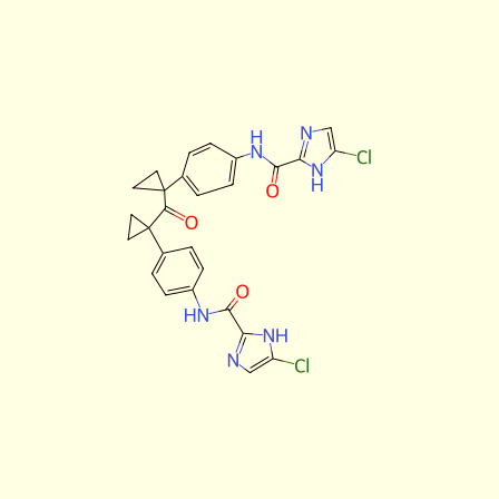 O=C(Nc1ccc(C2(C(=O)C3(c4ccc(NC(=O)c5ncc(Cl)[nH]5)cc4)CC3)CC2)cc1)c1ncc(Cl)[nH]1